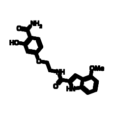 COc1cccc2[nH]c(C(=O)NCCOc3ccc(C(N)=O)c(O)c3)cc12